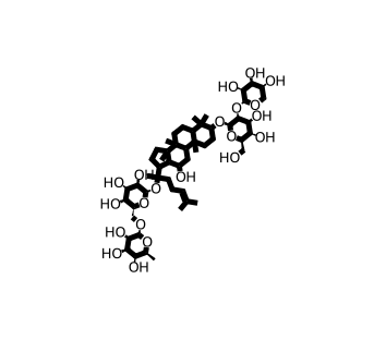 CC(C)=CCCC(C)(O[C@@H]1O[C@H](CO[C@@H]2O[C@@H](C)[C@H](O)[C@@H](O)[C@H]2O)[C@@H](O)[C@H](O)[C@H]1O)C1CCC2(C)C1C(O)CC1C3(C)CCC(O[C@@H]4O[C@H](CO)[C@@H](O)[C@H](O)[C@H]4O[C@H]4OC[C@@H](O)[C@H](O)[C@H]4O)C(C)(C)C3CCC12C